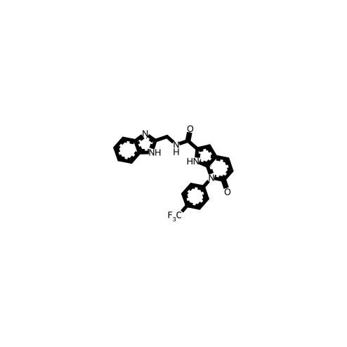 O=C(NCc1nc2ccccc2[nH]1)c1cc2ccc(=O)n(-c3ccc(C(F)(F)F)cc3)c2[nH]1